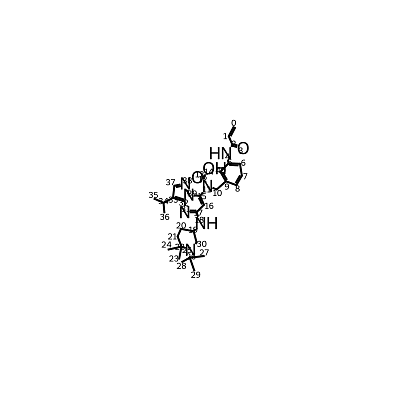 C=CC(=O)Nc1cccc(CN(C(=O)O)c2cc(NC3CCC(C)(C)N(C(C)(C)C)C3)nc3c(C(C)C)cnn23)c1